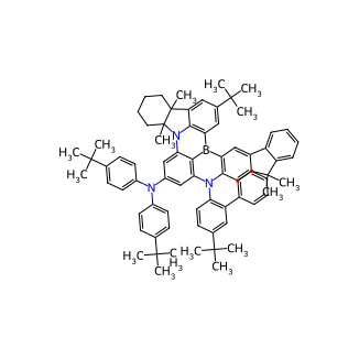 CC(C)(C)c1ccc(N(c2ccc(C(C)(C)C)cc2)c2cc3c4c(c2)N2c5c(cc(C(C)(C)C)cc5C5(C)CCCCC25C)B4c2cc4c(cc2N3c2ccc(C(C)(C)C)cc2-c2ccccc2)C(C)(C)c2ccccc2-4)cc1